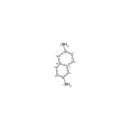 Bc1ccc2cc(B)ccc2c1